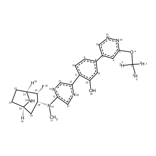 [2H]C([2H])([2H])Oc1cc(-c2ccc(-c3cnc(N(C)[C@@H]4C[C@H]5CC[C@H](N5)[C@@H]4F)cn3)c(O)c2)cnn1